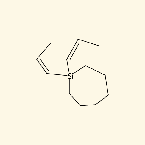 C/C=C\[Si]1(/C=C\C)CCCCCC1